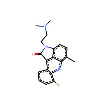 Cc1ccc2c3c(c4cccc(F)c4nc13)C(=O)N2CCN(C)C